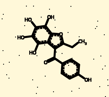 CCc1oc2c(O)c(O)c(O)c(O)c2c1C(=O)c1ccc(O)cc1